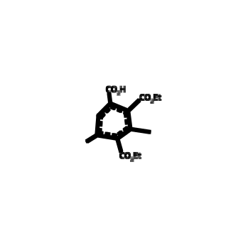 CCOC(=O)c1c(C)cc(C(=O)O)c(C(=O)OCC)c1C